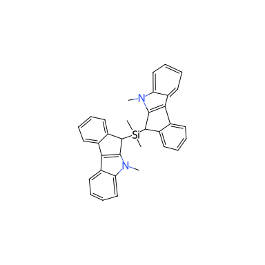 Cn1c2c(c3ccccc31)-c1ccccc1C2[Si](C)(C)C1c2ccccc2-c2c1n(C)c1ccccc21